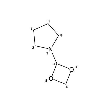 C1CCN(C2OCO2)C1